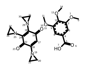 COc1cc(C(=O)O)cc(OC)c1OC.O=C1C=C(N2CC2)C(=O)C(N2CC2)=C1N1CC1